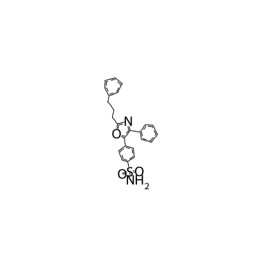 NS(=O)(=O)c1ccc(-c2oc(CCCc3ccccc3)nc2-c2ccccc2)cc1